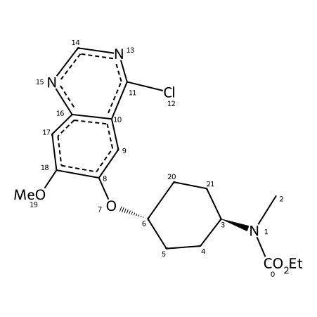 CCOC(=O)N(C)[C@H]1CC[C@H](Oc2cc3c(Cl)ncnc3cc2OC)CC1